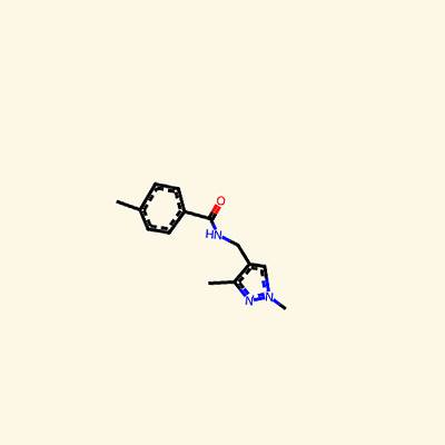 Cc1ccc(C(=O)NCc2cn(C)nc2C)cc1